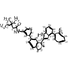 CC(C)(C)CC(=O)Nc1cncc(-c2ccc3c(c2)C(c2cc4c(-c5ccccc5F)cccc4[nH]2)=NCC3)c1